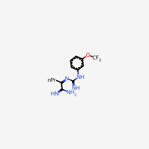 CCCC(=NC(=N)Nc1cccc(OC(F)(F)F)c1)C(=N)N